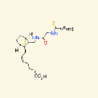 CCCCCC(=S)NCC(=O)NC[C@H]1[C@@H](C/C=C\CCCC(=O)O)[C@H]2CC[C@@H]1S2